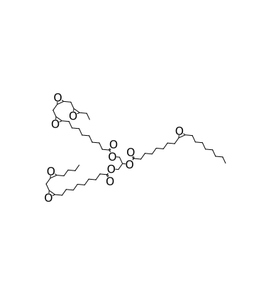 CCCCCCCCC1OC1CCCCCCCC(=O)OC(COC(=O)CCCCCCCCC1OC1CC1OC1CCCC)COC(=O)CCCCCCCCC1OC1CC1OC1CC1OC1CC